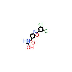 CC(CO)NC(=O)c1ccc2nc(-c3cc(Cl)cc(Cl)c3)oc2c1